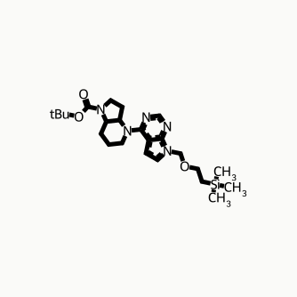 CC(C)(C)OC(=O)N1CCC2C1CCCN2c1ncnc2c1ccn2COCC[Si](C)(C)C